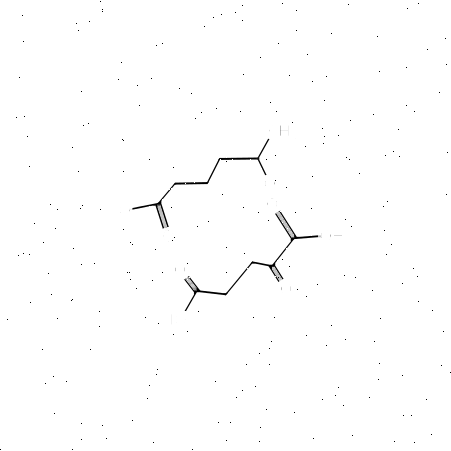 CC(O)CCCC(=O)O.O=C(O)CCC(=O)C(=O)O